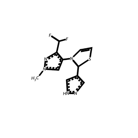 Cn1cc(N2C=CSC2c2cn[nH]c2)c(C(F)F)n1